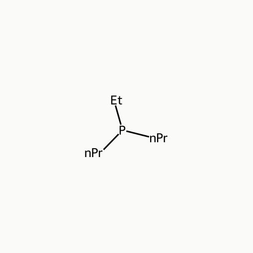 [CH2]CP(CCC)CCC